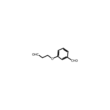 O=CCCOc1cccc(C=O)c1